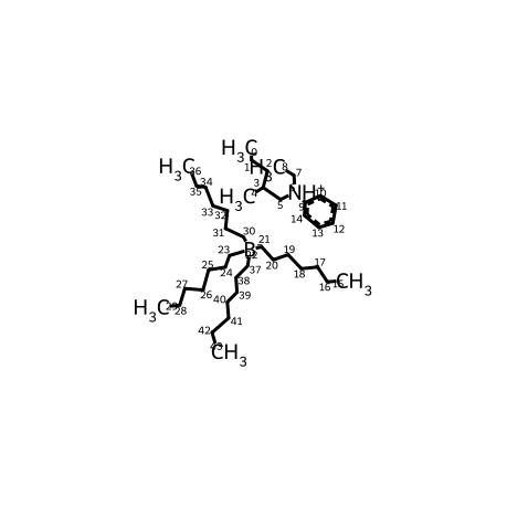 CCCC(C)C[NH+](CC)c1ccccc1.CCCCCCC[B-](CCCCCCC)(CCCCCCC)CCCCCCC